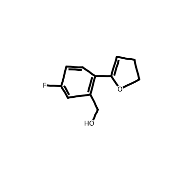 OCc1cc(F)ccc1C1=CCCO1